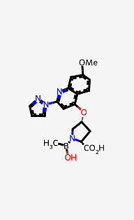 COc1ccc2c(O[C@@H]3C[C@@H](C(=O)O)N(B(C)O)C3)cc(-n3cccn3)nc2c1